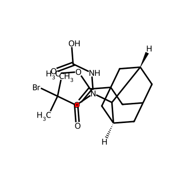 COC(=O)C12CC3C[C@@H](C1)C(N(NC(=O)O)C(=O)C(C)(C)Br)[C@@H](C3)C2